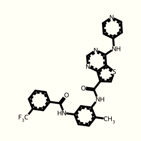 Cc1ccc(NC(=O)c2cccc(C(F)(F)F)c2)cc1NC(=O)c1csc2c(Nc3ccncc3)ncnc12